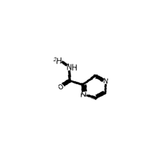 [2H]NC(=O)c1cnccn1